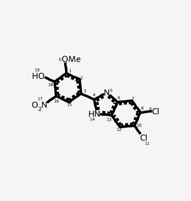 COc1cc(-c2nc3cc(Cl)c(Cl)cc3[nH]2)cc([N+](=O)[O-])c1O